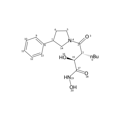 CCCC[C@@H](C(=O)N1CCC(c2ccccc2)C1)[C@H](O)C(=O)NO